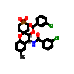 [C-]#[N+]c1ccc2c(c1)[C@@H](NC(=O)c1cccc(Cl)c1)[C@H](OC(=O)c1cccc(Cl)c1)C1(CCS(=O)(=O)CC1)O2